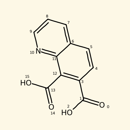 O=C(O)c1ccc2cccnc2c1C(=O)O